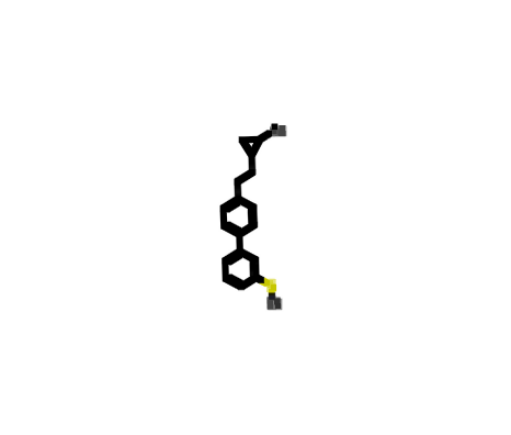 CCSc1cccc(-c2ccc(CCC3CC3C(C)=O)cc2)c1